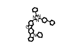 c1ccc(-c2ccc(-c3nc(-c4ccccc4)nc(-c4ccc5oc6cc7c8ccccc8n(-c8ccccc8)c7cc6c5c4)n3)cc2)cc1